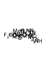 COc1cc(-c2nn(C3CCNCC3)c3ncnc(N)c23)ccc1NC(=O)c1ccc(C(F)(F)F)cc1